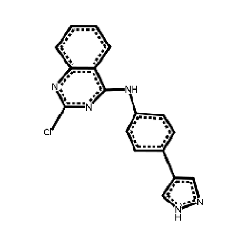 Clc1nc(Nc2ccc(-c3cn[nH]c3)cc2)c2ccccc2n1